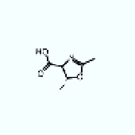 CC1=N[C@H](C(=O)O)[C@@H](C)O1